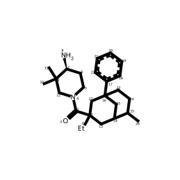 CCC1(C(=O)N2CC[C@H](N)C(C)(C)C2)CC2CC(c3ccccc3)(CCC2C)C1